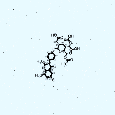 CC(=O)OC[C@H]1O[C@@H](Oc2ccc(-n3c(C)nc4c(C)cc(Cl)cc4c3=O)cc2)[C@@H](CC(=O)O)[C@H](CC(=O)O)[C@@H]1CC(=O)O